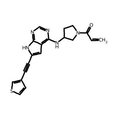 C=CC(=O)N1CCC(Nc2ncnc3[nH]c(C#Cc4ccsc4)cc23)C1